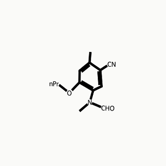 CCCOc1cc(C)c(C#N)cc1N(C)C=O